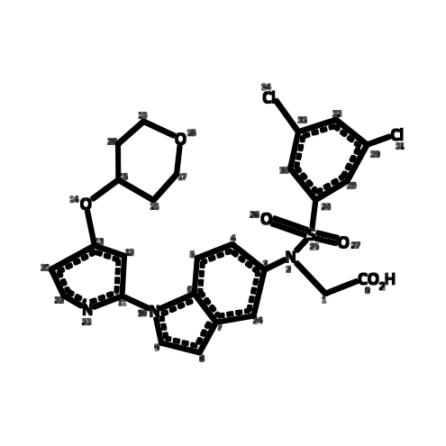 O=C(O)CN(c1ccc2c(ccn2-c2cc(OC3CCOCC3)ccn2)c1)S(=O)(=O)c1cc(Cl)cc(Cl)c1